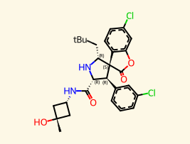 CC(C)(C)C[C@H]1N[C@@H](C(=O)N[C@H]2C[C@@](C)(O)C2)[C@H](c2cccc(Cl)c2)[C@@]12C(=O)Oc1cc(Cl)ccc12